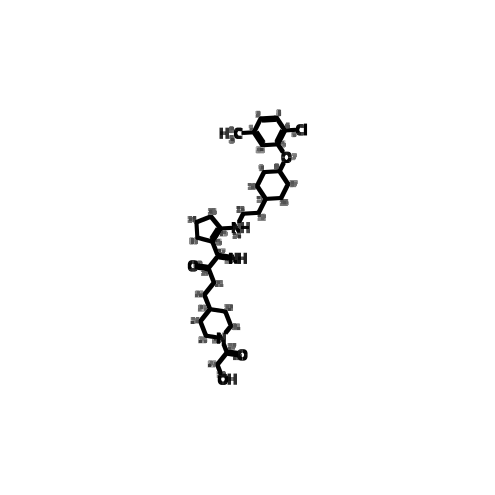 Cc1ccc(Cl)c(OC2CCC(CCNC3=C(C(=N)C(=O)CCC4CCN(C(=O)CO)CC4)CCC3)CC2)c1